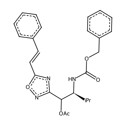 CC(=O)OC(c1noc(C=Cc2ccccc2)n1)[C@@H](NC(=O)OCc1ccccc1)C(C)C